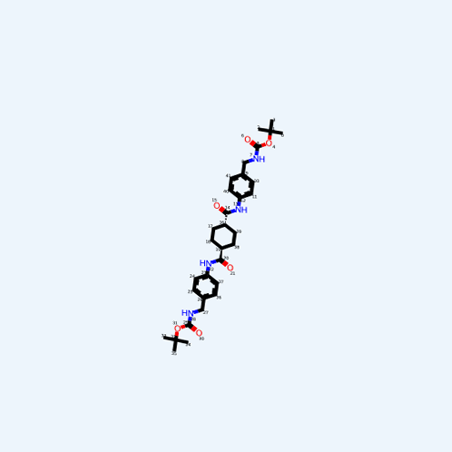 CC(C)(C)OC(=O)NCc1ccc(NC(=O)[C@H]2CC[C@H](C(=O)Nc3ccc(CNC(=O)OC(C)(C)C)cc3)CC2)cc1